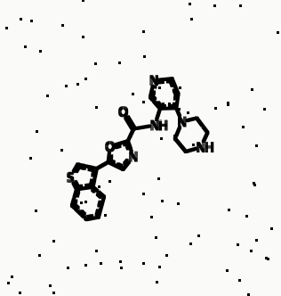 O=C(Nc1cnccc1N1CCNCC1)c1ncc(-c2csc3ccccc23)o1